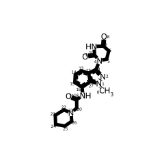 Cn1nc(N2CCC(=O)NC2=O)c2cccc(NC(=O)CN3CCCCC3)c21